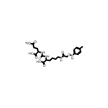 Cc1ccc(NOCC(=O)NCCCCC(NC(=O)NC(CCC(=O)O)C(=O)O)C(=O)O)cc1